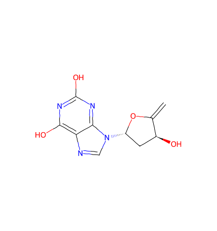 C=C1O[C@@H](n2cnc3c(O)nc(O)nc32)C[C@@H]1O